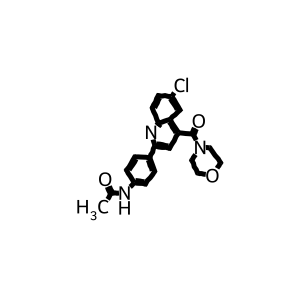 CC(=O)Nc1ccc(-c2cc(C(=O)N3CCOCC3)c3cc(Cl)ccc3n2)cc1